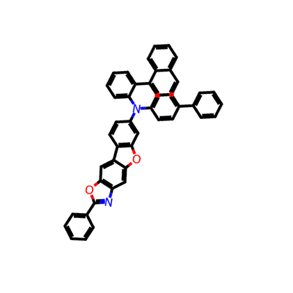 c1ccc(-c2ccc(N(c3ccc4c(c3)oc3cc5nc(-c6ccccc6)oc5cc34)c3ccccc3-c3cccc4ccccc34)cc2)cc1